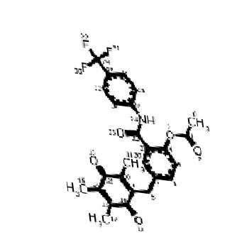 CC(=O)Oc1ccc(CC2=C(C)C(=O)C(C)=C(C)C2=O)cc1C(=O)Nc1ccc(C(F)(F)F)cc1